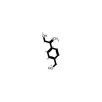 C=C(CO)c1ccc(CO)cc1